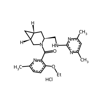 CCOc1ccc(C)nc1C(=O)N1C[C@@H]2C[C@@H]2C[C@H]1CNc1nc(C)cc(C)n1.Cl